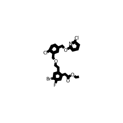 CCOC(=O)Cc1cc(F)c(Br)cc1CCOCc1cc(COc2cccc(Cl)n2)ccc1Cl